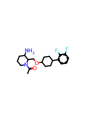 CC(=O)N1CCCC(N)C1COC1CCC(c2cccc(F)c2F)CC1